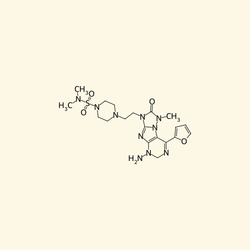 CN(C)S(=O)(=O)N1CCN(CCn2c(=O)n(C)n3c4c(nc23)N(N)CN=C4c2ccco2)CC1